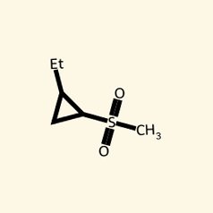 CCC1CC1S(C)(=O)=O